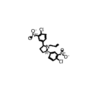 C=CCN1C(c2ccc(Cl)c([N+](=O)[O-])c2)CC[C@@H]1c1ccc(Cl)c([N+](=O)[O-])c1